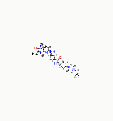 CC(C)N1c2nc(Nc3cccc(C(=O)N[C@H]4CC[C@H](N5CCN(CC6CC6)CC5)CC4)c3)ccc2N(C)C(=O)[C@H]1C